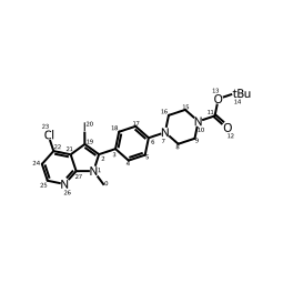 Cn1c(-c2ccc(N3CCN(C(=O)OC(C)(C)C)CC3)cc2)c(I)c2c(Cl)ccnc21